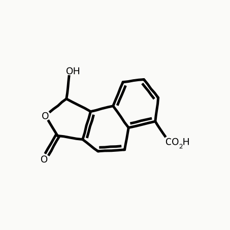 O=C1OC(O)c2c1ccc1c(C(=O)O)cccc21